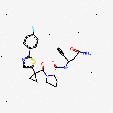 C#CC(CC(N)=O)NC(=O)[C@@H]1CCCN1C(=O)C1(c2cnc(-c3ccc(F)cc3)s2)CC1